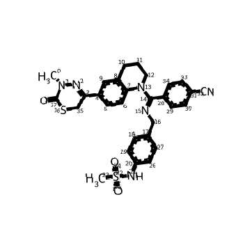 CN1N=C(c2ccc3c(c2)CCCN3C(=NCc2ccc(NS(C)(=O)=O)cc2)c2ccc(C#N)cc2)CSC1=O